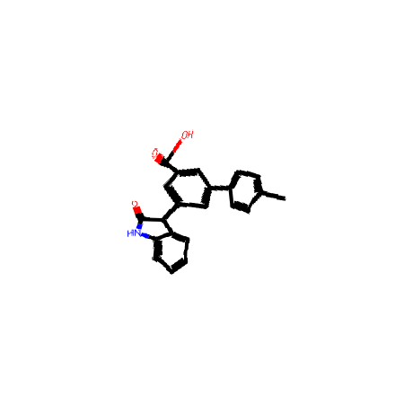 Cc1ccc(-c2cc(C(=O)O)cc(C3C(=O)Nc4ccccc43)c2)cc1